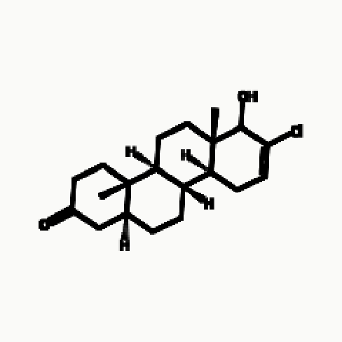 C[C@]12CCC(=O)C[C@@H]1CC[C@@H]1[C@@H]2CC[C@]2(C)C(O)C(Cl)=CC[C@@H]12